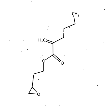 C=C(CCCC)C(=O)OCCC1CO1